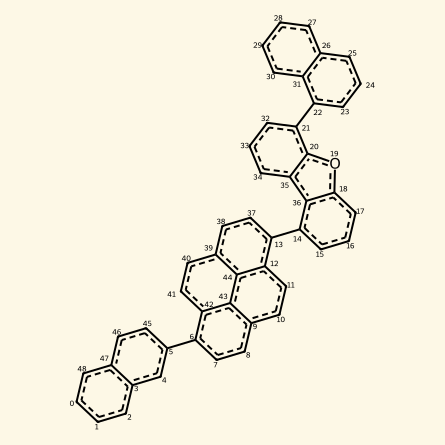 c1ccc2cc(-c3ccc4ccc5c(-c6cccc7oc8c(-c9cccc%10ccccc9%10)cccc8c67)ccc6ccc3c4c65)ccc2c1